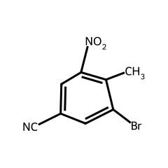 Cc1c(Br)cc(C#N)cc1[N+](=O)[O-]